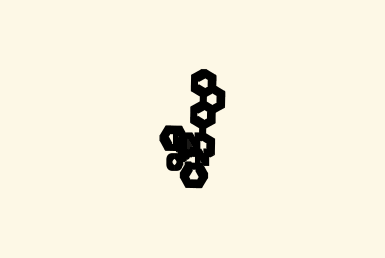 O=P(C1=NC=CC(c2ccc3c(ccc4ccccc43)c2)N1)(c1ccccc1)c1ccccc1